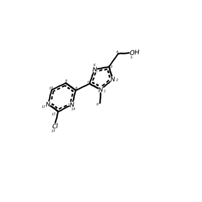 Cn1nc(CO)nc1-c1ccnc(Cl)n1